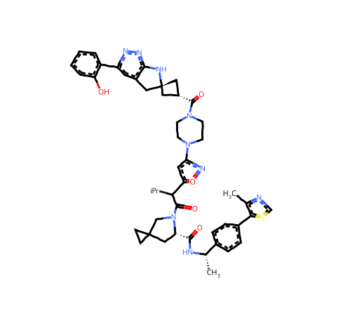 Cc1ncsc1-c1ccc([C@H](C)NC(=O)[C@@H]2CC3(CC3)CN2C(=O)C(c2cc(N3CCN(C(=O)[C@H]4C[C@]5(Cc6cc(-c7ccccc7O)nnc6N5)C4)CC3)no2)C(C)C)cc1